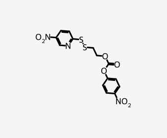 O=C(OCCSSc1ccc([N+](=O)[O-])cn1)Oc1ccc([N+](=O)[O-])cc1